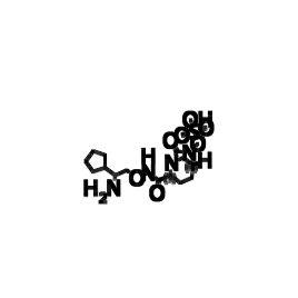 NC(CONC(=O)[C@@H]1CC[C@@H]2CN1C(=O)N2OS(=O)(=O)O)C1CCCC1